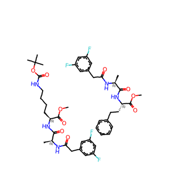 COC(=O)[C@H](CCCCNC(=O)OC(C)(C)C)NC(=O)[C@H](C)NC(=O)Cc1cc(F)cc(F)c1.COC(=O)[C@H](CCc1ccccc1)NC(=O)[C@H](C)NC(=O)Cc1cc(F)cc(F)c1